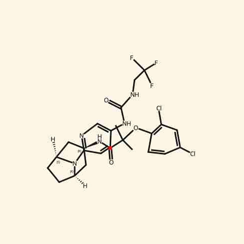 CC(C)(Oc1ccc(Cl)cc1Cl)C(=O)N[C@H]1C[C@H]2CC[C@@H](C1)N2c1ccc(NC(=O)NCC(F)(F)F)cn1